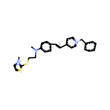 CN(CCSc1scc[n+]1C)c1ccc(/C=C/c2cc[n+](Cc3ccccc3)cc2)cc1